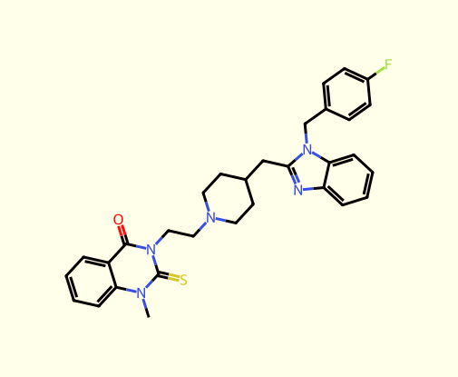 Cn1c(=S)n(CCN2CCC(Cc3nc4ccccc4n3Cc3ccc(F)cc3)CC2)c(=O)c2ccccc21